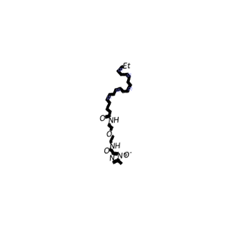 CC/C=C\C/C=C\C/C=C\C/C=C\C/C=C\CCCC(=O)NCCOCCNC(=O)c1c[n+]([O-])c(C)cn1